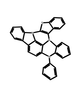 c1ccc(N2c3ccccc3B3c4c(sc5ccccc45)-n4c5ccccc5c5ccc2c3c54)cc1